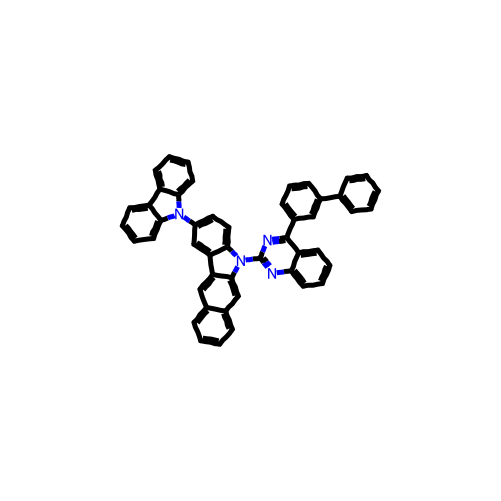 c1ccc(-c2cccc(-c3nc(-n4c5ccc(-n6c7ccccc7c7ccccc76)cc5c5cc6ccccc6cc54)nc4ccccc34)c2)cc1